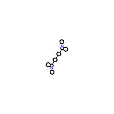 c1ccc(-n2cc(-c3ccc(-c4ccc(-c5cn(-c6ccccc6)c6ccccc56)cc4)cc3)c3ccccc32)cc1